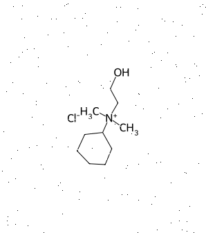 C[N+](C)(CCO)C1CCCCC1.[Cl-]